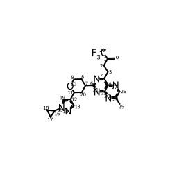 C=C(CCc1nc(C2CCOC(c3cnn(C4CC4)c3)C2)nc2nc(C)cnc12)C(F)(F)F